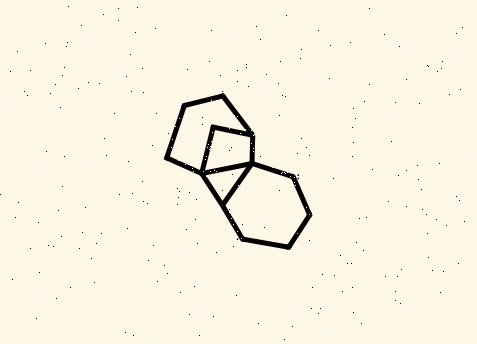 [C]1CC[CH]C2C34CCCC(C3)C124